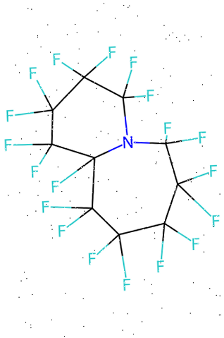 FC1(F)N2C(F)(F)C(F)(F)C(F)(F)C(F)(F)C2(F)C(F)(F)C(F)(F)C(F)(F)C1(F)F